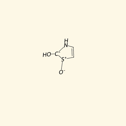 [O-][S+]1C=CN[C-]1O